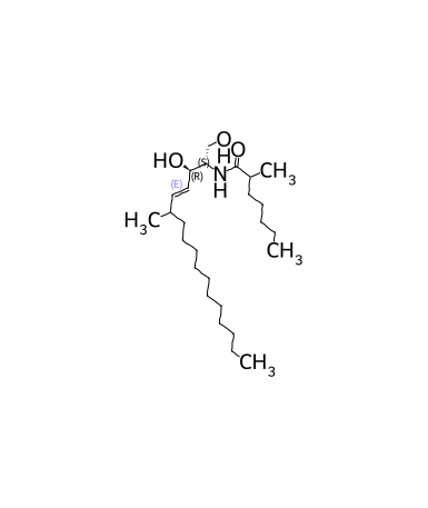 CCCCCCCCCCCC(C)/C=C/[C@@H](O)[C@H](CO)NC(=O)C(C)CCCCC